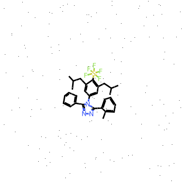 Cc1ccccc1-c1nnc(-c2ccccc2)n1-c1cc(CC(C)C)c(S(F)(F)(F)(F)F)c(CC(C)C)c1